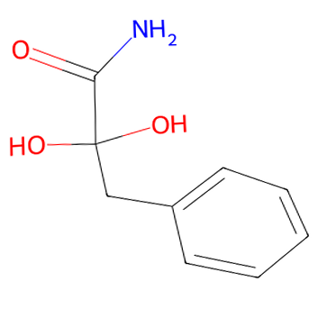 NC(=O)C(O)(O)Cc1ccccc1